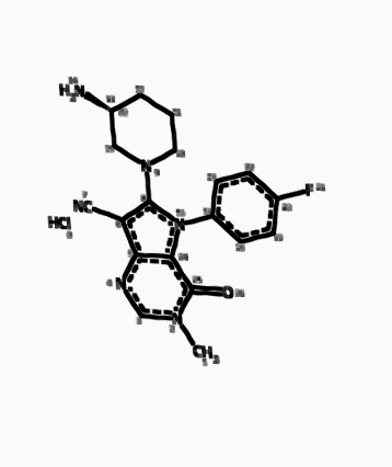 Cl.Cn1cnc2c(C#N)c(N3CCC[C@H](N)C3)n(-c3ccc(F)cc3)c2c1=O